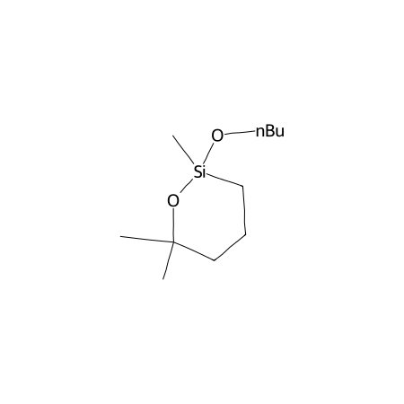 CCCCO[Si]1(C)CCCC(C)(C)O1